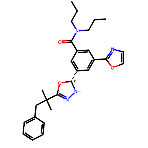 CCCN(CCC)C(=O)c1cc(-c2ncco2)cc([C@@H]2NN=C(C(C)(C)Cc3ccccc3)O2)c1